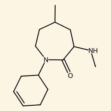 CNC1CC(C)CCN(C2CC=CCC2)C1=O